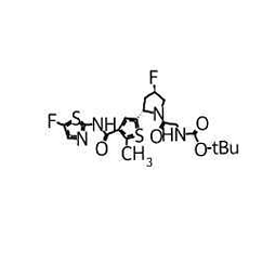 Cc1sc([C@@H]2C[C@@H](F)CN2C(=O)CNC(=O)OC(C)(C)C)cc1C(=O)Nc1ncc(F)s1